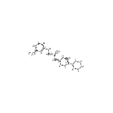 O=C(N=c1ccn(C2C=CCC=C2)nc1)NCc1cccc(C(F)(F)F)c1